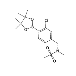 CN(Cc1ccc(B2OC(C)(C)C(C)(C)O2)c(Cl)c1)S(C)(=O)=O